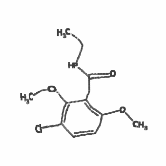 CCPC(=O)c1c(OC)ccc(Cl)c1OC